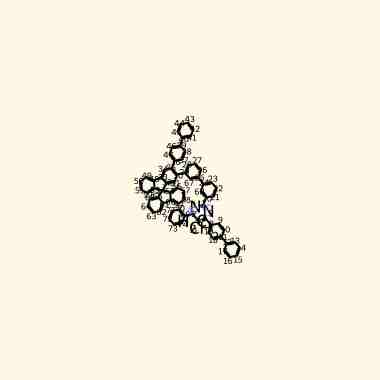 C=C/C(=N\C(=N/C(=C)c1ccc(-c2ccccc2)cc1)c1cccc(-c2cccc(-c3cc4c(cc3-c3ccc(-c5ccccc5)cc3)-c3ccccc3C43c4ccccc4-c4ccccc43)c2)c1)c1ccccc1